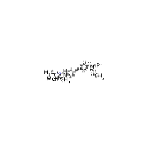 C=C/C=C(/CNc1ccc(C#Cc2ccc(CN(CCC)CCC=C)cc2)cc1)N(C)NC